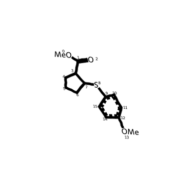 COC(=O)C1CCCC1Sc1ccc(OC)cc1